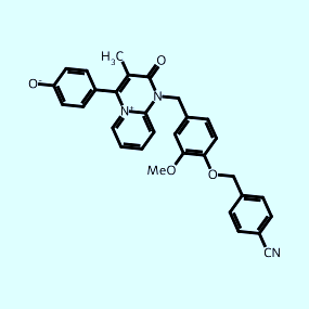 COc1cc(Cn2c(=O)c(C)c(-c3ccc([O-])cc3)[n+]3ccccc23)ccc1OCc1ccc(C#N)cc1